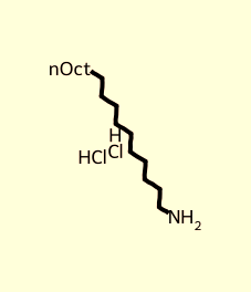 CCCCCCCCCCCCCCCCCCN.Cl.Cl